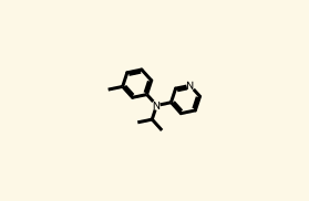 Cc1cccc(N(c2cccnc2)C(C)C)c1